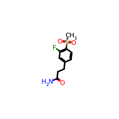 CS(=O)(=O)c1ccc(CCC(N)=O)cc1F